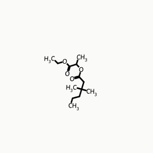 CCCC(C)(C)CC(=O)OC(C)C(=O)OCC